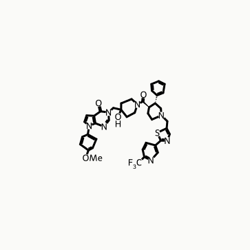 COc1ccc(-n2ccc3c(=O)n(CC4(O)CCN(C(=O)[C@@H]5CCN(Cc6cnc(-c7ccc(C(F)(F)F)nc7)s6)C[C@H]5c5ccccc5)CC4)cnc32)cc1